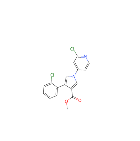 COC(=O)c1cn(-c2ccnc(Cl)c2)cc1-c1ccccc1Cl